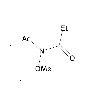 CCC(=O)N(OC)C(C)=O